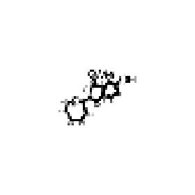 COC(=O)c1cc(O)ccc1CCC1CCCCCC1